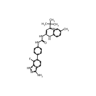 Cc1ccc(N/C(=C\C(=N)C(C)(C)C)NC(=O)Nc2ccc(-c3ccc4c(N)n[nH]c4c3F)cc2)cc1